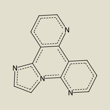 c1cnc2c(c1)c1ncccc1c1nccn21